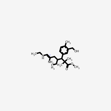 CCN/C=C(\N)CC(CC)C(c1ccc(C)c(CO)c1)C(C)(C)C(=O)OC